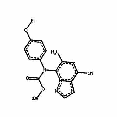 CCOc1ccc(N(C(=O)OC(C)(C)C)c2c(C)[c]c(C#N)c3ccnn23)cc1